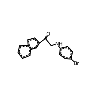 O=C(CNc1ccc(Br)cc1)c1ccc2ccccc2c1